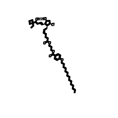 CCCCCCCCCCCCCCCOc1ccc(C(=O)OCCCOC(=O)CCC/C=C\C[C@@H]2[C@H](/C=C/C[C@H](O)C3(CC)CCC3)[C@H](O)C[C@@H]2Cl)cc1